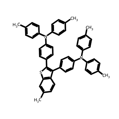 Cc1ccc(N(c2ccc(C)cc2)c2ccc(-c3sc4cc(C)ccc4c3-c3ccc(N(c4ccc(C)cc4)c4ccc(C)cc4)cc3)cc2)cc1